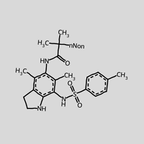 CCCCCCCCCC(C)(C)C(=O)Nc1c(C)c2c(c(NS(=O)(=O)c3ccc(C)cc3)c1C)NCC2